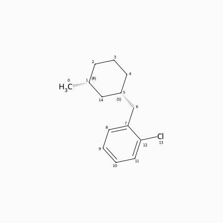 C[C@@H]1CCC[C@H](Cc2ccccc2Cl)C1